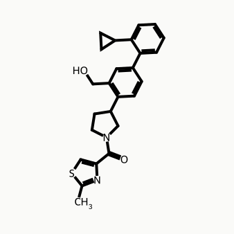 Cc1nc(C(=O)N2CCC(c3ccc(-c4ccccc4C4CC4)cc3CO)C2)cs1